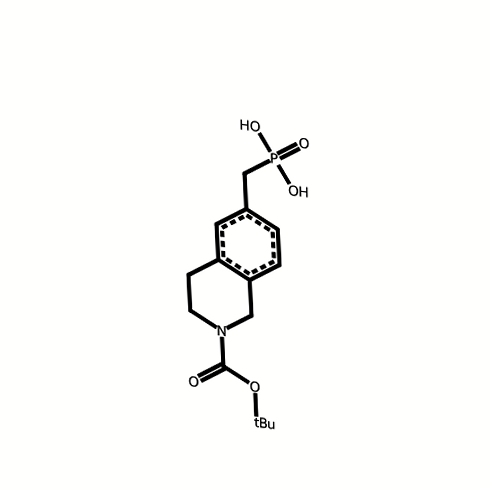 CC(C)(C)OC(=O)N1CCc2cc(CP(=O)(O)O)ccc2C1